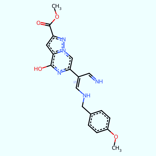 COC(=O)c1cc2c(O)nc(/C(C=N)=C/NCc3ccc(OC)cc3)cn2n1